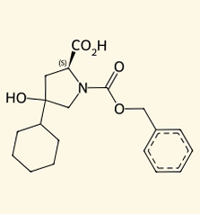 O=C(O)[C@@H]1CC(O)(C2CCCCC2)CN1C(=O)OCc1ccccc1